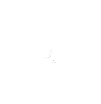 C=CC.[W]